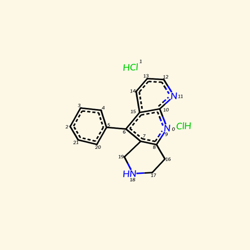 Cl.Cl.c1ccc(-c2c3c(nc4ncccc24)CCNC3)cc1